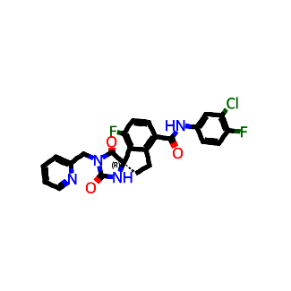 O=C(Nc1ccc(F)c(Cl)c1)c1ccc(F)c2c1CC[C@@]21NC(=O)N(Cc2ccccn2)C1=O